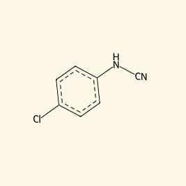 N#CNc1ccc(Cl)cc1